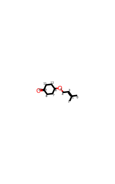 CC(C)=CCOC1CCC(=O)CC1